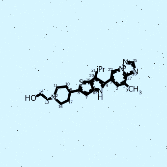 Cc1cc(-c2[nH]c3cc(C4CCN(CCO)CC4)sc3c2C(C)C)cn2ncnc12